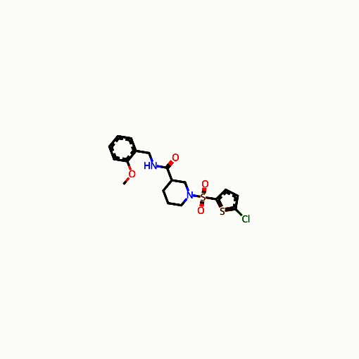 COc1ccccc1CNC(=O)C1CCCN(S(=O)(=O)c2ccc(Cl)s2)C1